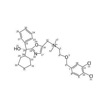 C[N+](C)(CCOCc1ccc(Cl)c(Cl)c1)Cc1cnc([C@](O)(c2ccccc2)C2CCCCC2)o1